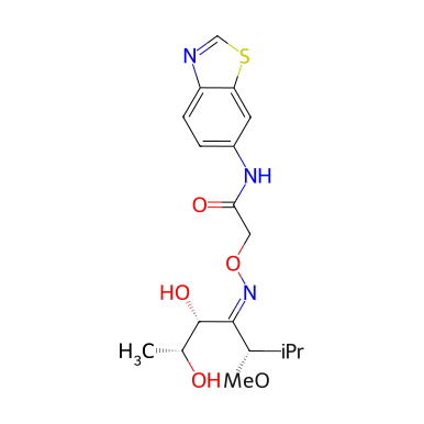 CO[C@H](/C(=N/OCC(=O)Nc1ccc2ncsc2c1)[C@@H](O)[C@@H](C)O)C(C)C